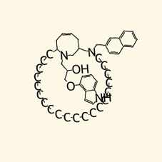 OC(COc1cccc2[nH]ccc12)CN1CC2CC=CCC1CCCCCCCCCCCCCCCCCCCCN2Cc1ccc2ccccc2c1